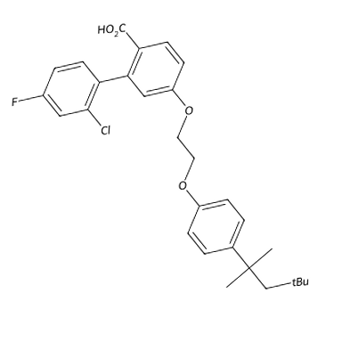 CC(C)(C)CC(C)(C)c1ccc(OCCOc2ccc(C(=O)O)c(-c3ccc(F)cc3Cl)c2)cc1